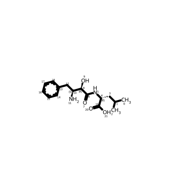 CC(C)C[C@@H](NC(=O)[C@H](O)[C@@H](N)Cc1ccccc1)C(=O)O